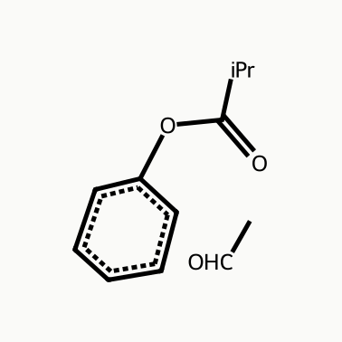 CC(C)C(=O)Oc1ccccc1.CC=O